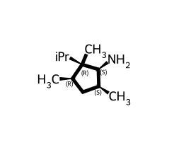 CC(C)[C@]1(C)[C@H](C)C[C@H](C)[C@@H]1N